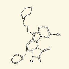 O=C1NC(=O)c2c1c(-c1ccccc1)cc1c2c2cc(O)ccc2n1CCCN1CCCC1